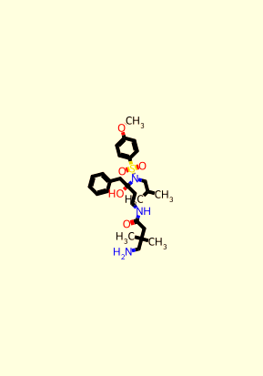 COc1ccc(S(=O)(=O)N(CC(C)C)C(O)(CCNC(=O)CC(C)(C)CN)Cc2ccccc2)cc1